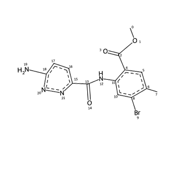 COC(=O)c1cc(C)c(Br)cc1NC(=O)c1ccc(N)nn1